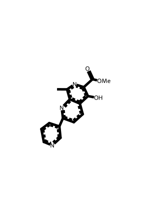 COC(=O)c1nc(C)c2nc(-c3cccnc3)ccc2c1O